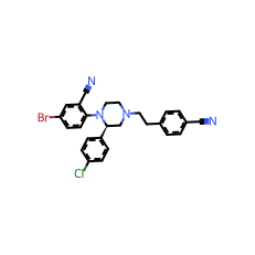 N#Cc1ccc(CCN2CCN(c3ccc(Br)cc3C#N)[C@H](c3ccc(Cl)cc3)C2)cc1